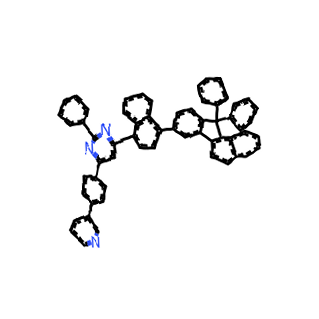 c1ccc(-c2nc(-c3ccc(-c4cccnc4)cc3)cc(-c3ccc(-c4ccc5c(c4)-c4ccc6ccccc6c4C5(c4ccccc4)c4ccccc4)c4ccccc34)n2)cc1